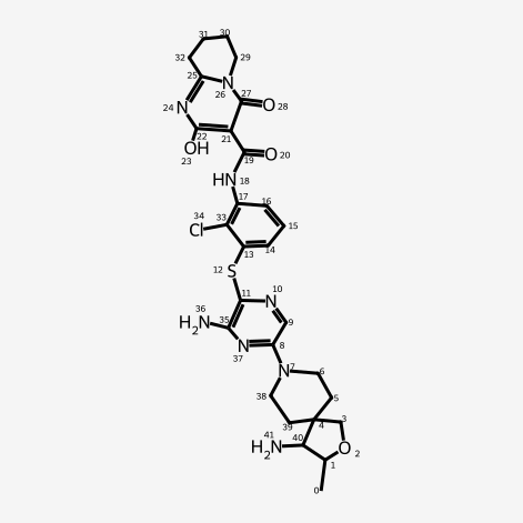 CC1OCC2(CCN(c3cnc(Sc4cccc(NC(=O)c5c(O)nc6n(c5=O)CCCC6)c4Cl)c(N)n3)CC2)C1N